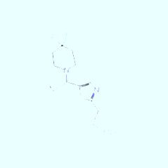 N#CC(c1cnc(COC=O)s1)N1CCC(F)(F)CC1